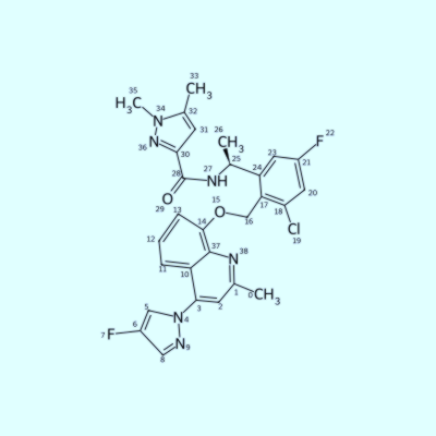 Cc1cc(-n2cc(F)cn2)c2cccc(OCc3c(Cl)cc(F)cc3[C@H](C)NC(=O)c3cc(C)n(C)n3)c2n1